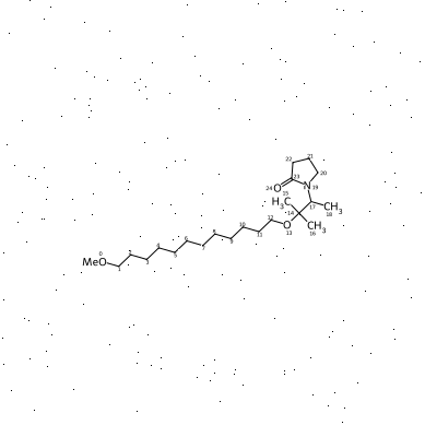 COCCCCCCCCCCCCOC(C)(C)C(C)N1CCCC1=O